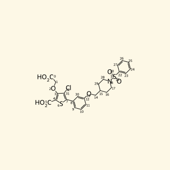 O=C(O)COc1c(C(=O)O)sc(-c2cccc(OCC3CCN(S(=O)(=O)c4ccccc4)CC3)c2)c1Cl